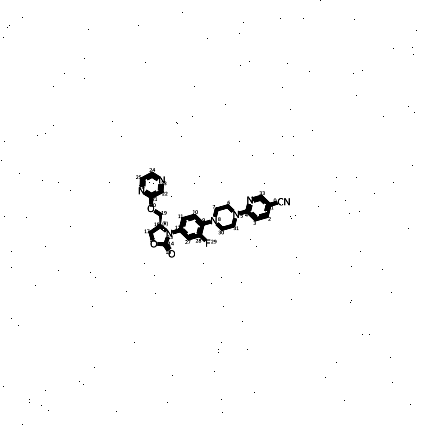 N#Cc1ccc(N2CCN(c3ccc(N4C(=O)OC[C@H]4COc4cnccn4)cc3F)CC2)nc1